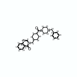 O=C(C1CCC(Cn2cnc3ccccc3c2=O)CC1)N1CCN(Cc2ccccc2)CC1